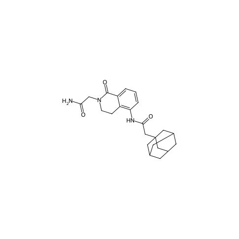 NC(=O)CN1CCc2c(NC(=O)CC34CC5CC(CC(C5)C3)C4)cccc2C1=O